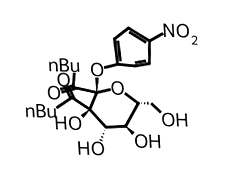 CCCCC(=O)[C@]1(Oc2ccc([N+](=O)[O-])cc2)O[C@H](CO)[C@@H](O)[C@H](O)[C@]1(O)C(=O)CCCC